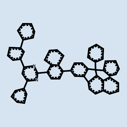 c1ccc(-c2cccc(-c3cc(-c4ccccc4)nc(-c4ccc(-c5ccc6c(c5)-c5ccc7ccccc7c5C6(c5ccccc5)c5ccccc5)c5ccccc45)n3)c2)cc1